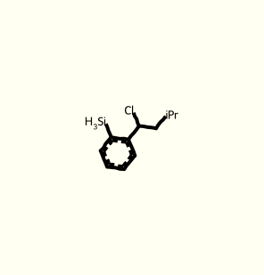 CC(C)CC(Cl)c1ccccc1[SiH3]